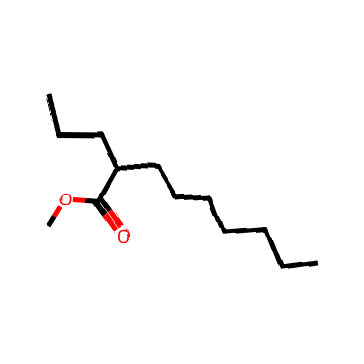 CCCCCCCC(CCC)C(=O)OC